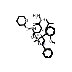 COc1ccccc1C(/C=C/c1ccccc1)([C@H](C(=O)NOC1CCCCO1)[C@@H](CC(C)C)C(=O)NN)S(C)(=O)=O